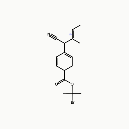 C/C=C(\C)C(C#N)C1=CCC(C(=O)OC(C)(C)Br)C=C1